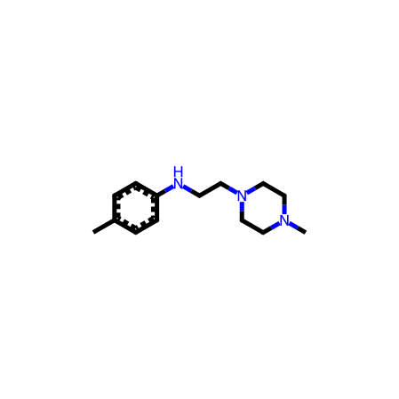 Cc1ccc(NCCN2CCN(C)CC2)cc1